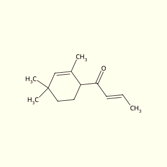 C/C=C/C(=O)C1CCC(C)(C)C=C1C